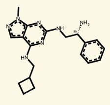 Cn1ncc2c(NCC3CCC3)nc(NC[C@H](N)c3ccccc3)nc21